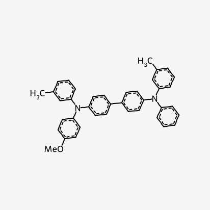 COc1ccc(N(c2ccc(-c3ccc(N(c4ccccc4)c4cccc(C)c4)cc3)cc2)c2cccc(C)c2)cc1